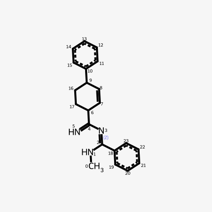 CN/C(=N\C(=N)C1C=CC(c2ccccc2)CC1)c1ccccc1